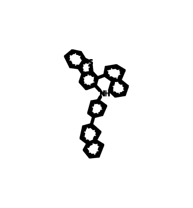 c1ccc2cc(-c3ccc(Nc4ccc5c(sc6ccccc65)c4-c4cccc5ccccc45)cc3)ccc2c1